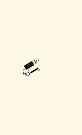 C#N.CO